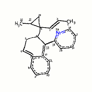 CC=CC1(C2CC=c3ccccc3=C2c2ccccn2)CC1C